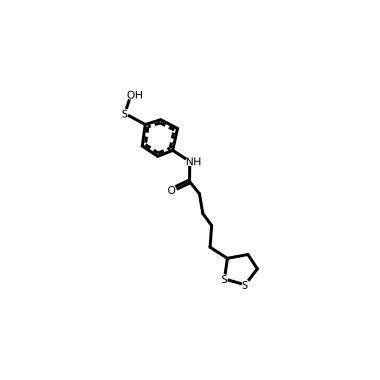 O=C(CCCCC1CCSS1)Nc1ccc(SO)cc1